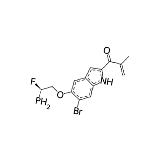 C=C(C)C(=O)c1cc2cc(OC[C@H](F)P)c(Br)cc2[nH]1